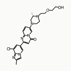 Cc1cn2cc(-c3cc(=O)n4cc(N5CCN(CCOCCO)[C@@H](C)C5)ccc4n3)cc(Cl)c2n1